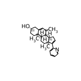 C[C@@H]1C=C2C[C@@H](O)CC[C@]2(C)[C@H]2CC[C@]3(C)C(c4ccccn4)=CC[C@H]3[C@H]12